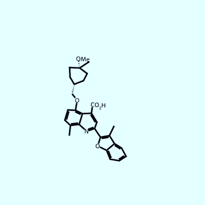 CO[C@]1(C)CC[C@H](COc2ccc(C)c3nc(-c4oc5ccccc5c4C)cc(C(=O)O)c23)CC1